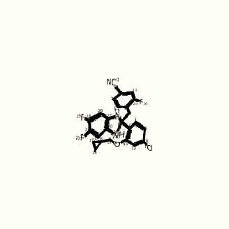 N#Cc1ccc(CC2(c3ccc(Cl)cc3OCC3CC3)Nc3cc(F)c(F)cc3N2)c(F)c1